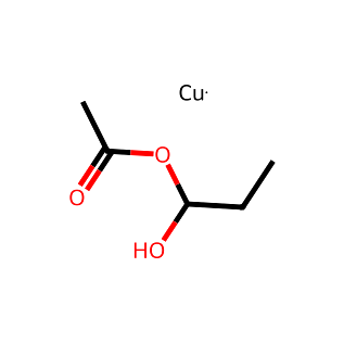 CCC(O)OC(C)=O.[Cu]